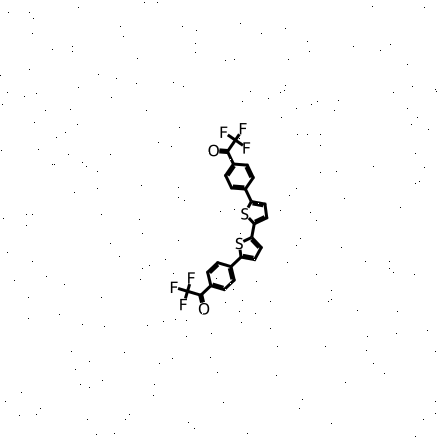 O=C(c1ccc(-c2ccc(-c3ccc(-c4ccc(C(=O)C(F)(F)F)cc4)s3)s2)cc1)C(F)(F)F